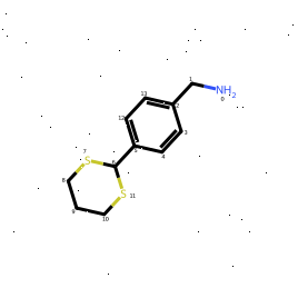 NCc1ccc(C2SCCCS2)cc1